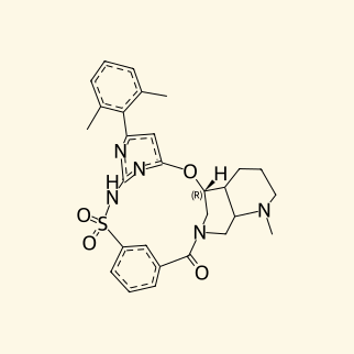 Cc1cccc(C)c1-c1cc2nc(n1)NS(=O)(=O)c1cccc(c1)C(=O)N1CC3C(CCCN3C)[C@H](C1)O2